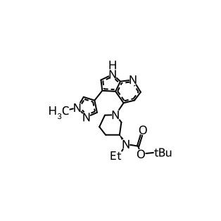 CCN(C(=O)OC(C)(C)C)[C@H]1CCCN(c2ccnc3[nH]cc(-c4cnn(C)c4)c23)C1